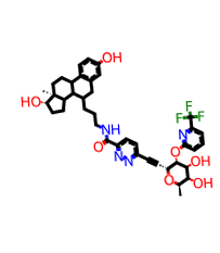 C[C@H]1O[C@H](C#Cc2ccc(C(=O)NCCCC3Cc4cc(O)ccc4C4CC[C@@]5(C)C(CC[C@@H]5O)C34)nn2)[C@H](Oc2cccc(C(F)(F)F)n2)[C@@H](O)[C@H]1O